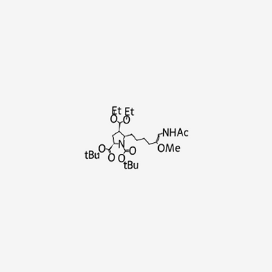 CCOC(OCC)[C@@H]1C[C@H](C(=O)OC(C)(C)C)N(C(=O)OC(C)(C)C)[C@@H]1CCCCC(=CNC(C)=O)OC